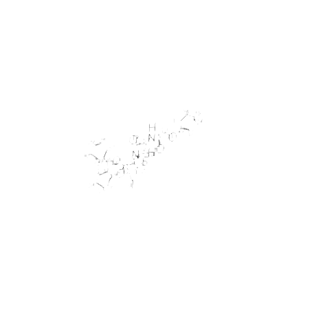 CC1(CI)S[C@H]2C(NC(=O)COc3ccccc3)C(=O)N2C1C(=O)OC(c1ccccc1)c1ccccc1